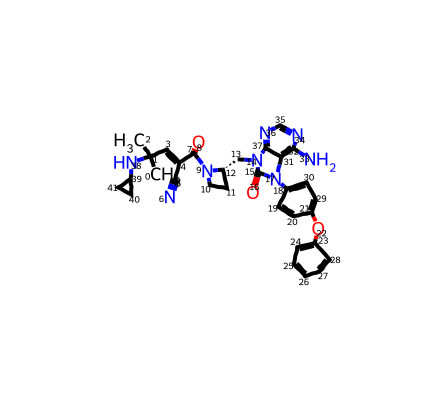 CC(C)(C=C(C#N)C(=O)N1CC[C@H]1Cn1c(=O)n(-c2ccc(Oc3ccccc3)cc2)c2c(N)ncnc21)NC1CC1